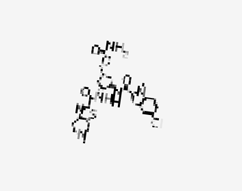 CN1CCc2nc(C(=O)N[C@@H]3CC(COC(N)=O)C[C@H]3NC(=O)c3cc4cc(Cl)ccc4n3C)sc2C1